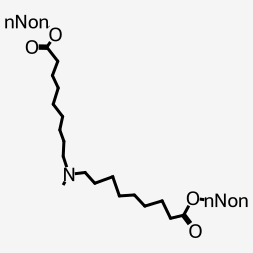 CCCCCCCCCOC(=O)CCCCCCCCN(C)CCCCCCCCC(=O)OCCCCCCCCC